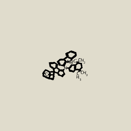 CC1(C)CCC(C)(C)c2cc(N(c3cccc4c3-c3ccccc3C43C4CC5CC6CC3C64C5)c3cccc4c3oc3ccccc34)ccc21